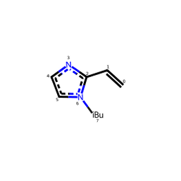 C=Cc1nccn1C(C)CC